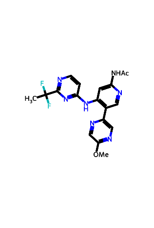 COc1cnc(-c2cnc(NC(C)=O)cc2Nc2ccnc(C(C)(F)F)n2)cn1